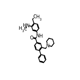 CCc1ccc(NC(=O)c2ccc(-c3ccccc3)c(CN3CCCCC3)c2)cc1NC